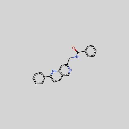 O=C(NCc1cc2nc(-c3ccccc3)ccc2cn1)c1ccccc1